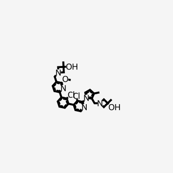 COc1nc(-c2cccc(-c3ccnc(-n4ccc(C)c4CN4CC(C)(O)C4)c3Cl)c2Cl)ccc1CN1CC(C)(O)C1